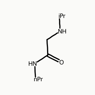 CCCNC(=O)CNC(C)C